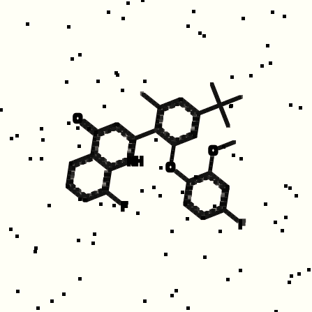 COc1cc(F)ccc1Oc1cc(C(C)(C)C)cc(C)c1-c1cc(=O)c2cccc(F)c2[nH]1